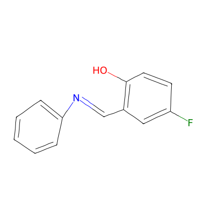 Oc1ccc(F)cc1C=Nc1ccccc1